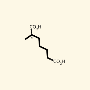 C[C@H](CCCCC(=O)O)C(=O)O